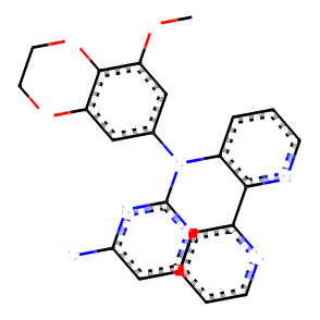 COc1cc(N(c2nccc(N)n2)c2cccnc2-c2ccccn2)cc2c1OCCO2